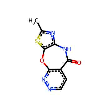 Cc1nc2c(s1)Oc1nnccc1C(=O)N2